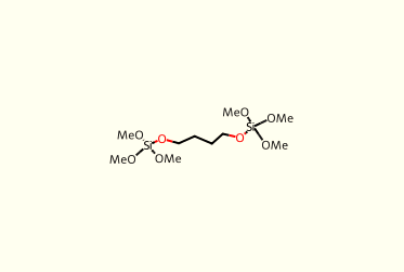 CO[Si](OC)(OC)OCCCCO[Si](OC)(OC)OC